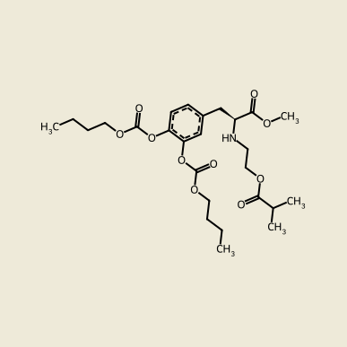 CCCCOC(=O)Oc1ccc(C[C@H](NCCOC(=O)C(C)C)C(=O)OC)cc1OC(=O)OCCCC